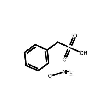 NCl.O=S(=O)(O)Cc1ccccc1